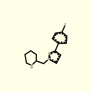 Fc1ccc(-c2ccn(CC3CCCCN3)n2)cc1